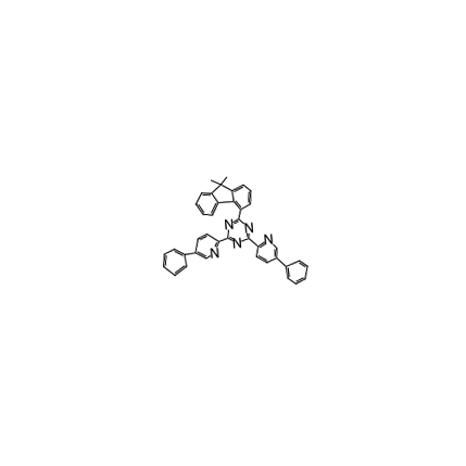 CC1(C)c2ccccc2-c2c(-c3nc(-c4ccc(-c5ccccc5)cn4)nc(-c4ccc(-c5ccccc5)cn4)n3)cccc21